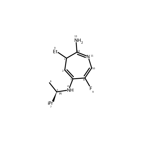 CCC1C=C(N[C@H](C)C(C)C)C(F)=CN=C1N